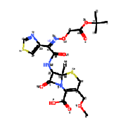 COCC1=C(C(=O)O)N2C(=O)C(NC(=O)/C(=N\OCC(=O)OC(C)(C)C)c3cscn3)[C@@H]2SC1